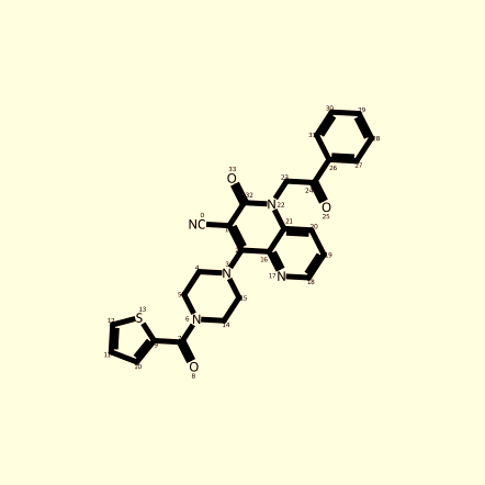 N#Cc1c(N2CCN(C(=O)c3cccs3)CC2)c2ncccc2n(CC(=O)c2ccccc2)c1=O